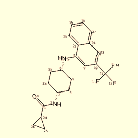 O=C(N[C@H]1CC[C@@H](Nc2cc(C(F)(F)F)nc3ccccc23)CC1)C1CC1